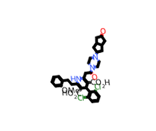 COc1ccccc1CCC1=C(C(=O)O)C(c2c(Cl)cccc2Cl)C(C(=O)O)=C(CC(=O)N2CCN(C3CC4CC(=O)CC4C3)CC2)N1